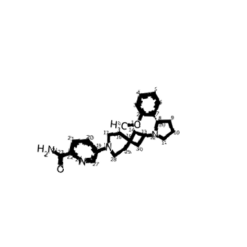 COc1ccccc1[C@@H]1CCCN1C1CC2(CCN(c3ccc(C(N)=O)nc3)CC2)C1